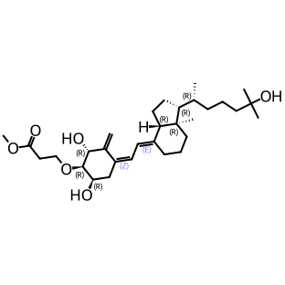 C=C1/C(=C\C=C2/CCC[C@]3(C)[C@@H]([C@H](C)CCCC(C)(C)O)CC[C@@H]23)C[C@@H](O)[C@@H](OCCC(=O)OC)[C@@H]1O